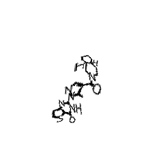 Cc1c(C(=O)N2CC[C@H]3CCCC[C@H]3C2)cnn1-c1nc2ccsc2c(=O)[nH]1